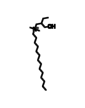 CCCCCCCCCCCCCC[N+](C)(C)CC(CC)CO